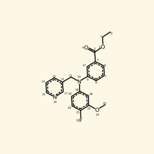 CCOC(=O)c1cccc(N(Cc2cccnc2)c2ccc(F)c(OC)c2)c1